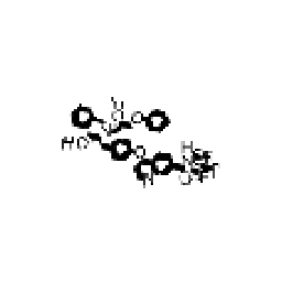 O=C(NS(=O)(=O)C(F)(F)F)c1ccc2c(Oc3ccc(C[C@@H](CO)N(Cc4ccccc4)C[C@H](O)COc4ccccc4)cc3)ccnc2c1